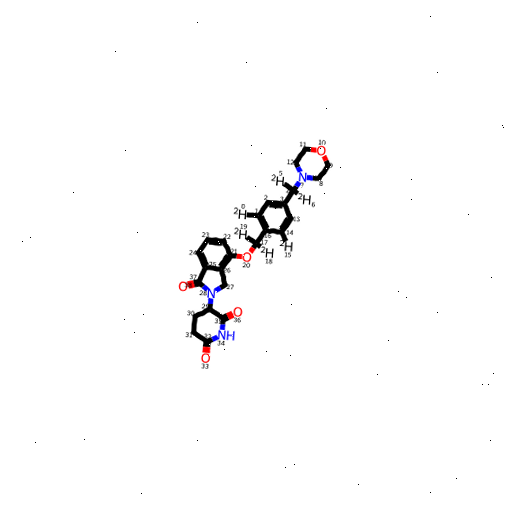 [2H]c1cc(C([2H])([2H])N2CCOCC2)cc([2H])c1C([2H])([2H])Oc1cccc2c1CN(C1CCC(=O)NC1=O)C2=O